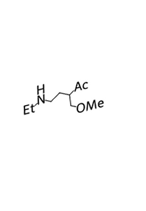 CCNCCC(COC)C(C)=O